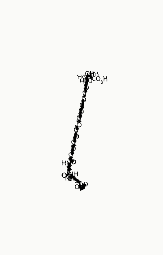 NC(=O)[C@H](CCCCNC(=O)CCOCCOCCOCCOCCOCCOCCOCCOCCOCCOCCOCCOCCNC1O[C@H](C(=O)O)[C@@H](O)[C@H](O)[C@H]1O)NC(=O)CCCCCN1C(=O)CCC1=O